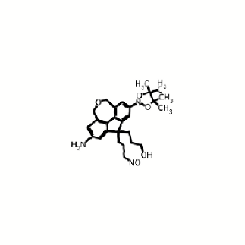 CC1(C)ON(c2cc3c4c(c2)C(CCCO)(CCCN=O)c2cc(N)cc(c2-4)COC3)OC1(C)C